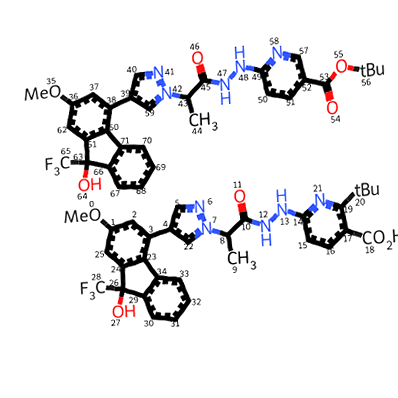 COc1cc(-c2cnn(C(C)C(=O)NNc3ccc(C(=O)O)c(C(C)(C)C)n3)c2)c2c(c1)C(O)(C(F)(F)F)c1ccccc1-2.COc1cc(-c2cnn(C(C)C(=O)NNc3ccc(C(=O)OC(C)(C)C)cn3)c2)c2c(c1)C(O)(C(F)(F)F)c1ccccc1-2